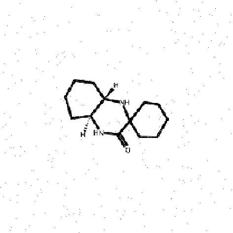 O=C1N[C@H]2CCCC[C@@H]2NC12CCCCC2